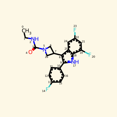 CCNC(=O)N1CC(c2c(-c3ccc(F)cc3)[nH]c3c(F)cc(F)cc23)C1